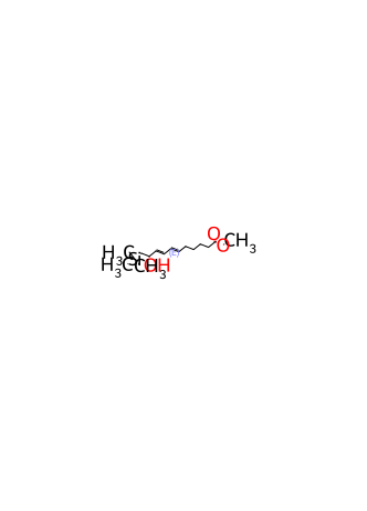 COC(=O)CCCC/C=C/C=CC(O)C[Si](C)(C)C